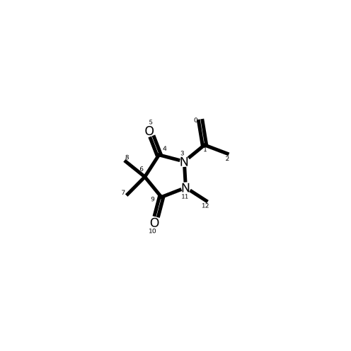 C=C(C)N1C(=O)C(C)(C)C(=O)N1C